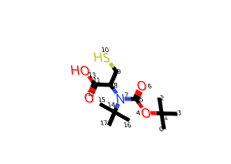 CC(C)(C)OC(=O)N(C(CS)C(=O)O)C(C)(C)C